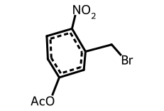 CC(=O)Oc1ccc([N+](=O)[O-])c(CBr)c1